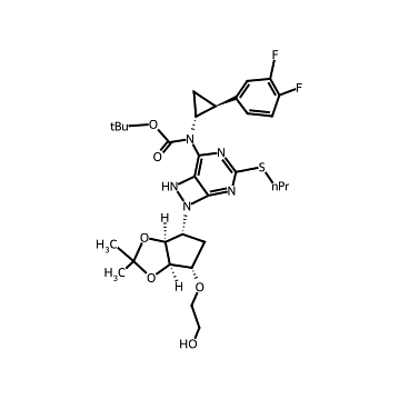 CCCSc1nc(N(C(=O)OC(C)(C)C)[C@@H]2C[C@H]2c2ccc(F)c(F)c2)c2[nH]n([C@@H]3C[C@H](OCCO)[C@H]4OC(C)(C)O[C@H]43)c2n1